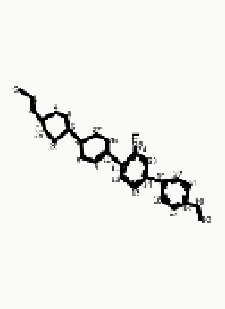 CCCC1CCC(C2CC=C(c3ccc(-c4ccc(CC)cc4)cc3F)CC2)CC1